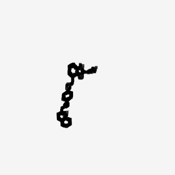 N#Cc1nc2cccc(COc3ccc(OCc4ccc5ccccc5n4)cc3)c2o1